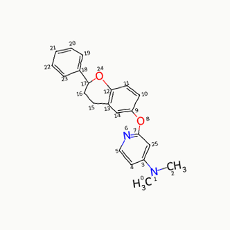 CN(C)c1ccnc(Oc2ccc3c(c2)CCC(c2ccccc2)O3)c1